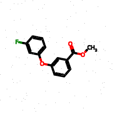 COC(=O)c1cccc(Oc2cccc(F)c2)c1